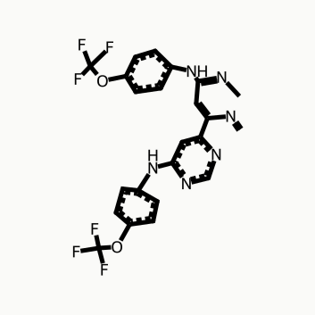 C=N/C(=C\C(=N/C)Nc1ccc(OC(F)(F)F)cc1)c1cc(Nc2ccc(OC(F)(F)F)cc2)ncn1